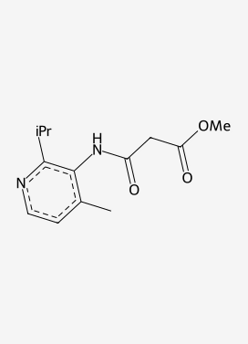 COC(=O)CC(=O)Nc1c(C)ccnc1C(C)C